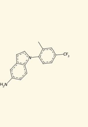 Cc1cc(C(F)(F)F)ccc1-n1ccc2cc(N)ccc21